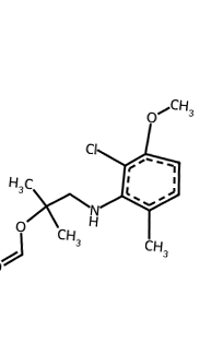 COc1ccc(C)c(NCC(C)(C)OC=O)c1Cl